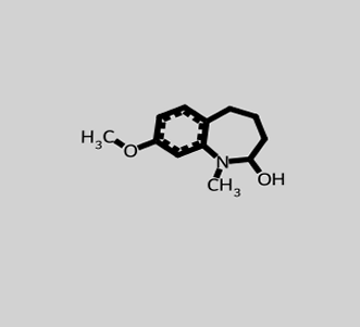 COc1ccc2c(c1)N(C)C(O)CCC2